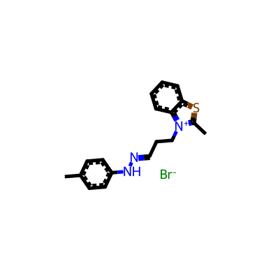 Cc1ccc(N/N=C/CC[n+]2c(C)sc3ccccc32)cc1.[Br-]